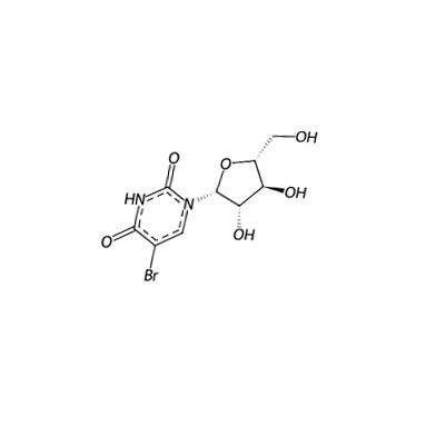 O=c1[nH]c(=O)n([C@@H]2O[C@H](CO)[C@@H](O)[C@@H]2O)cc1Br